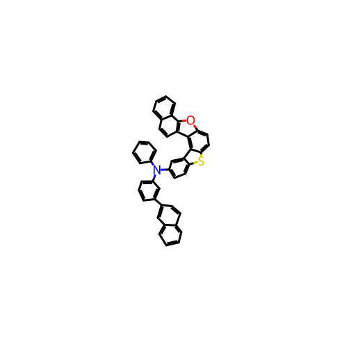 c1ccc(N(c2cccc(-c3ccc4ccccc4c3)c2)c2ccc3sc4ccc5oc6c7ccccc7ccc6c5c4c3c2)cc1